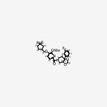 COc1nc(C(=O)N2CCC3(c4cccc(F)c4)OCOC3C2)ccc1OCC1CCC(F)(F)C1